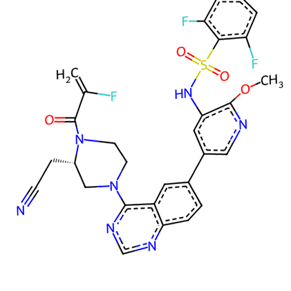 C=C(F)C(=O)N1CCN(c2ncnc3ccc(-c4cnc(OC)c(NS(=O)(=O)c5c(F)cccc5F)c4)cc23)C[C@@H]1CC#N